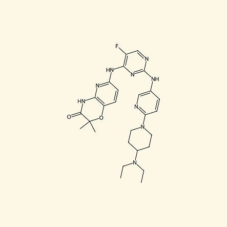 CCN(CC)C1CCN(c2ccc(Nc3ncc(F)c(Nc4ccc5c(n4)NC(=O)C(C)(C)O5)n3)cn2)CC1